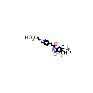 Cc1nn(C(=O)CCc2ccc(CNCCC(=O)O)cc2)c2c1CC(C)(C)[C@H](C)C2